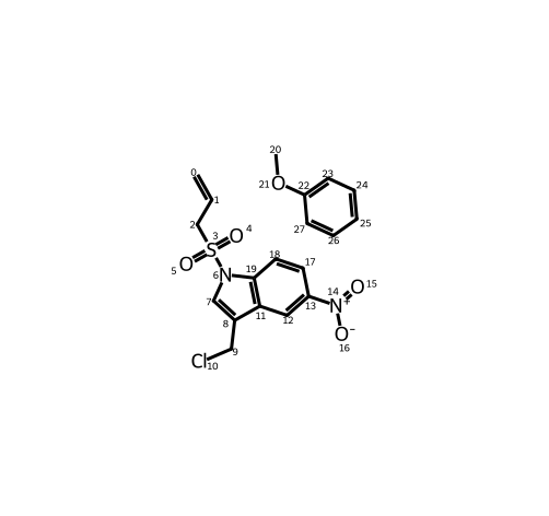 C=CCS(=O)(=O)n1cc(CCl)c2cc([N+](=O)[O-])ccc21.COc1ccccc1